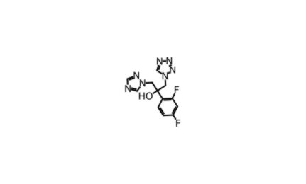 OC(Cn1cncn1)(Cn1cnnn1)c1ccc(F)cc1F